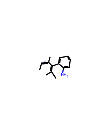 C/C=C(/C)C(=C(C)C)c1ccccc1N